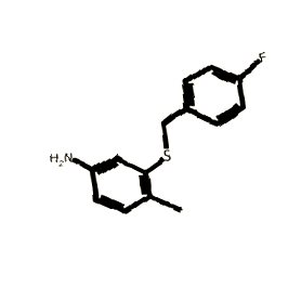 Cc1ccc(N)[c]c1SCc1ccc(F)cc1